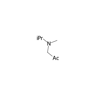 CC(=O)CN(C)C(C)C